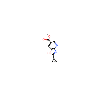 COC(=O)c1cnc2c(c1)BC(C1CC1)=N2